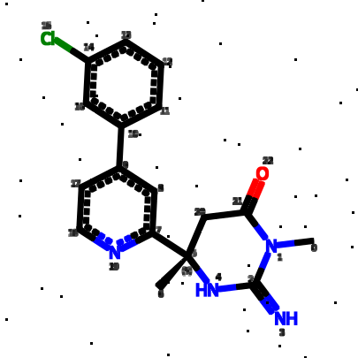 CN1C(=N)N[C@](C)(c2cc(-c3cccc(Cl)c3)ccn2)CC1=O